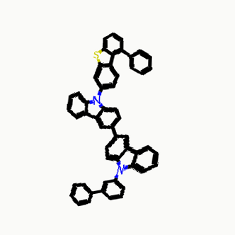 c1ccc(-c2cccc(-n3c4ccccc4c4cc(-c5ccc6c(c5)c5ccccc5n6-c5ccc6c(c5)sc5cccc(-c7ccccc7)c56)ccc43)c2)cc1